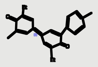 CCC1=C/C(=C2/C=C(CC)C(=O)C(c3ccc(C)cc3)=C2)C=C(C)C1=O